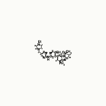 CCN1CCN(Cc2cnc(Nc3cc(-c4cc(P)c5nc6n(c5c4)C(C)(C)CC6)c(F)cn3)nc2)CC1